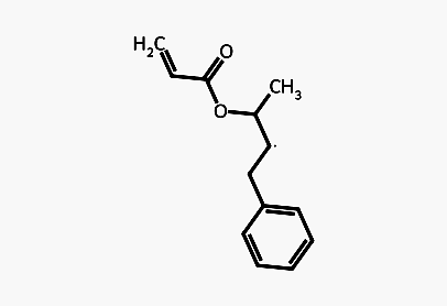 C=CC(=O)OC(C)[CH]Cc1ccccc1